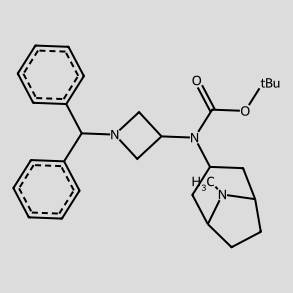 CN1C2CCC1CC(N(C(=O)OC(C)(C)C)C1CN(C(c3ccccc3)c3ccccc3)C1)C2